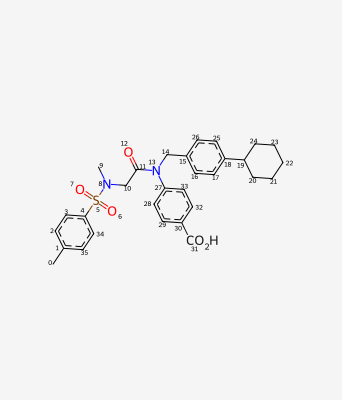 Cc1ccc(S(=O)(=O)N(C)CC(=O)N(Cc2ccc(C3CCCCC3)cc2)c2ccc(C(=O)O)cc2)cc1